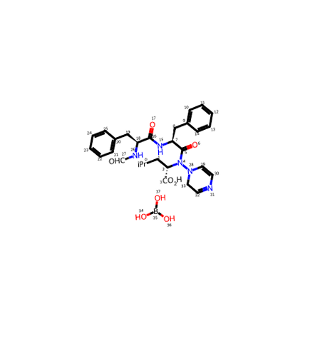 CC(C)C[C@@H](C(=O)O)N(C(=O)[C@H](Cc1ccccc1)NC(=O)[C@H](Cc1ccccc1)NC=O)N1C=CN=CC1.OB(O)O